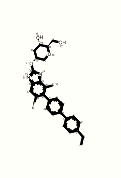 CCc1ccc(-c2ccc(-c3c(F)cc4[nH]c(O[C@H]5CO[C@H](CO)[C@@H](O)C5)nc4c3F)cc2)cc1